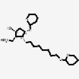 O=C(O)C[C@@H]1[C@@H](CCCCCCCCOC2CCCCO2)[C@@H](OC2CCCCO2)C[C@@H]1O